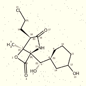 C[C@@]12OC(=O)[C@]1([C@@H](O)[C@H]1CCCC(O)C1)NC(=O)[C@@H]2CCCl